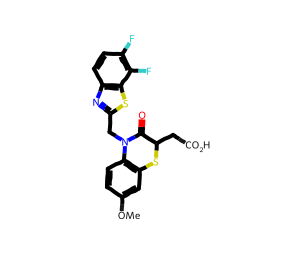 COc1ccc2c(c1)SC(CC(=O)O)C(=O)N2Cc1nc2ccc(F)c(F)c2s1